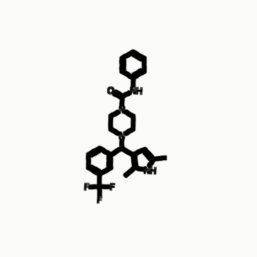 Cc1cc(C(c2cccc(C(F)(F)F)c2)N2CCN(C(=O)Nc3ccccc3)CC2)c(C)[nH]1